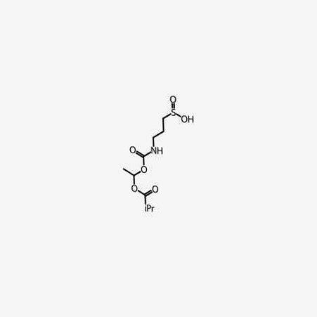 CC(OC(=O)NCCCS(=O)O)OC(=O)C(C)C